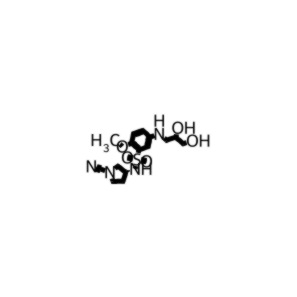 COc1ccc(NCC(O)CO)cc1S(=O)(=O)N[C@@H]1CCN(C#N)C1